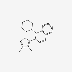 CC1=CCC(C2C=Cc3ccccc3C2C2CCCCC2)=C1C